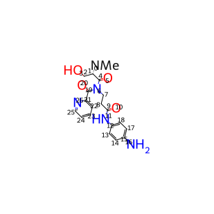 CN[C@@H](CO)C(=O)N(CCC(=O)Nc1ccc(N)cc1)C(=O)c1ccccn1